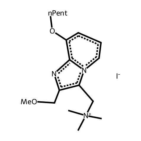 CCCCCOc1cccn2c(C[N+](C)(C)C)c(COC)nc12.[I-]